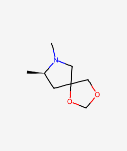 C[C@@H]1CC2(COCO2)CN1C